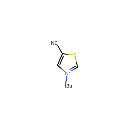 CC(C)(C)[n+]1csc(C#N)c1